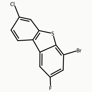 Fc1cc(Br)c2sc3cc(Cl)ccc3c2c1